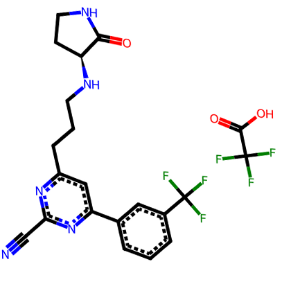 N#Cc1nc(CCCN[C@H]2CCNC2=O)cc(-c2cccc(C(F)(F)F)c2)n1.O=C(O)C(F)(F)F